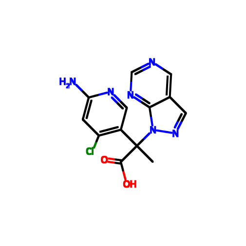 CC(C(=O)O)(c1cnc(N)cc1Cl)n1ncc2cncnc21